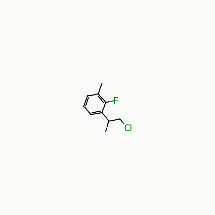 C[C](CCl)c1cccc(C)c1F